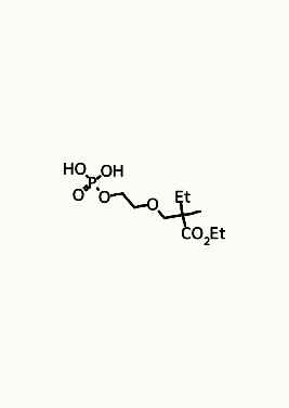 CCOC(=O)C(C)(CC)COCCOP(=O)(O)O